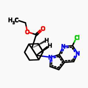 CCOC(=O)[C@@H]1C2CCC(CC2)[C@H]1n1ccc2cnc(Cl)nc21